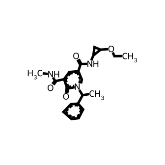 CCOC1CC1NC(=O)c1cc(C(=O)NC)c(=O)n(C(C)c2ccccc2)c1